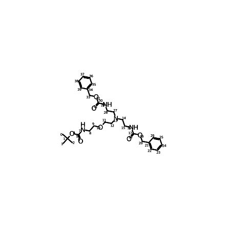 CC(C)(C)OC(=O)NCCOCCN(CCNC(=O)OCc1ccccc1)CCNC(=O)OCc1ccccc1